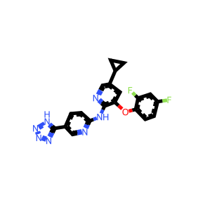 Fc1ccc(Oc2cc(C3CC3)cnc2Nc2ccc(-c3nnn[nH]3)cn2)c(F)c1